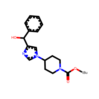 CC(C)(C)OC(=O)N1CCC(n2cnc(C(O)c3ccccc3)c2)CC1